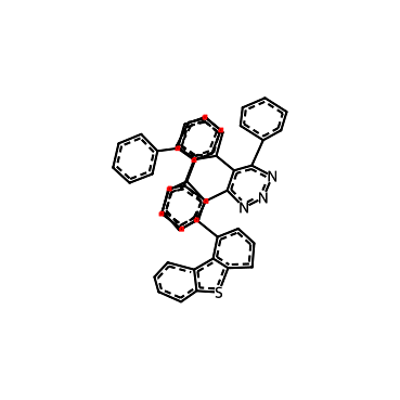 c1ccc(-c2ccccc2-c2cccc(-c3cccc4sc5ccccc5c34)c2-c2nnnc(-c3ccccc3)c2-c2ccccc2-c2ccccc2)cc1